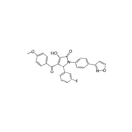 COc1ccc(C(=O)C2=C(O)C(=O)N(c3ccc(-c4ccon4)cc3)C2c2cccc(F)c2)cc1